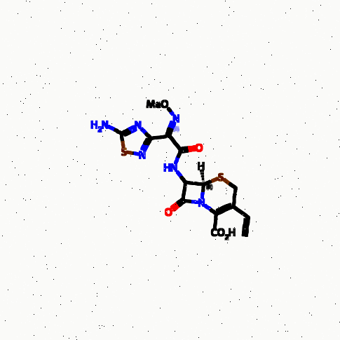 C=CC1=C(C(=O)O)N2C(=O)C(NC(=O)/C(=N/OC)c3nsc(N)n3)[C@H]2SC1